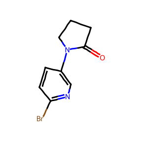 O=C1CCCN1c1ccc(Br)nc1